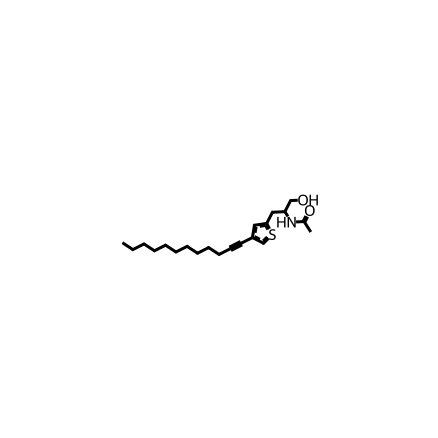 CCCCCCCCCCC#Cc1csc(CC(CO)NC(C)=O)c1